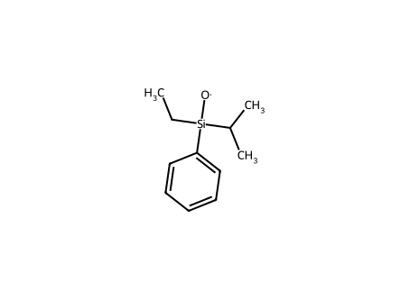 CC[Si]([O])(c1ccccc1)C(C)C